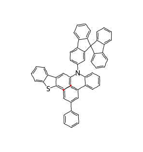 c1ccc(-c2cccc(-c3ccccc3N(c3ccc4c(c3)C3(c5ccccc5-c5ccccc53)c3ccccc3-4)c3ccc4sc5ccccc5c4c3)c2)cc1